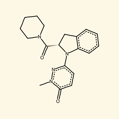 Cn1nc(N2c3ccccc3C[C@H]2C(=O)N2CCCCC2)ccc1=O